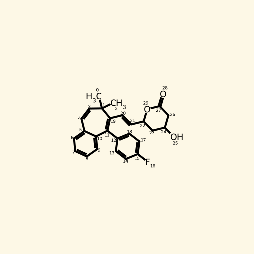 CC1(C)C=Cc2ccccc2C(c2ccc(F)cc2)=C1C=CC1CC(O)CC(=O)O1